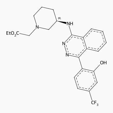 CCOC(=O)CN1CCC[C@@H](Nc2nnc(-c3ccc(C(F)(F)F)cc3O)c3ccccc23)C1